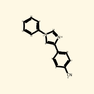 N#Cc1ccc(-c2cn(-c3ccccc3)cn2)cc1